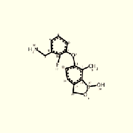 Cc1c(Oc2cccc(CN)c2F)ccc2c1B(O)OC2